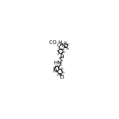 O=C(O)C(Cc1ccc(OCCNCc2ccnc3cc(Cl)ccc23)cc1)n1cccc1